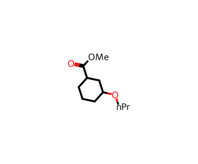 CCCOC1CCCC(C(=O)OC)C1